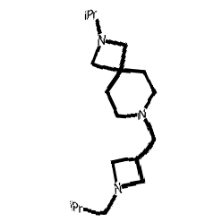 CC(C)CN1CC(CN2CCC3(CC2)CN(C(C)C)C3)C1